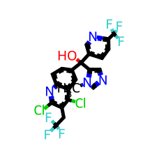 Cn1cncc1C(O)(c1ccc(C(F)(F)F)nc1)c1ccc2nc(Cl)c(CC(F)(F)F)c(Cl)c2c1